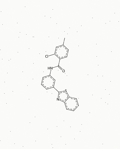 Cc1ccc(C(=O)Nc2cccc(-c3nc4ccccc4s3)c2)c(Cl)c1